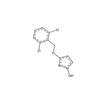 On1ccc(OCc2c(Cl)cccc2Cl)n1